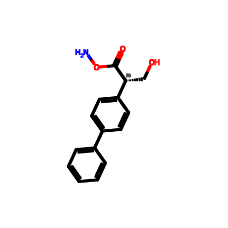 NOC(=O)[C@H](CO)c1ccc(-c2ccccc2)cc1